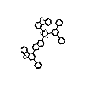 C1=C(c2ccccc2)C=C(c2ccc3cc(-c4nc(-c5cc(-c6ccccc6)cc(-c6ccccc6)c5)nc(-c5cccc6oc7ccccc7c56)n4)ccc3c2)C2c3ccccc3OC12